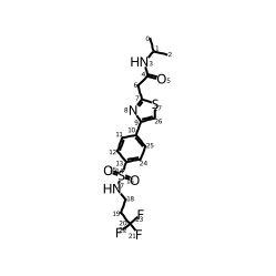 CC(C)NC(=O)Cc1nc(-c2ccc(S(=O)(=O)NCCC(F)(F)F)cc2)cs1